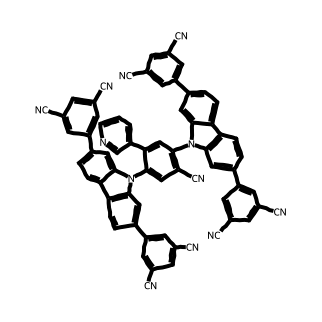 N#Cc1cc(C#N)cc(-c2ccc3c4ccc(-c5cc(C#N)cc(C#N)c5)cc4n(-c4cc(-c5cccnc5)c(-n5c6cc(-c7cc(C#N)cc(C#N)c7)ccc6c6ccc(-c7cc(C#N)cc(C#N)c7)cc65)cc4C#N)c3c2)c1